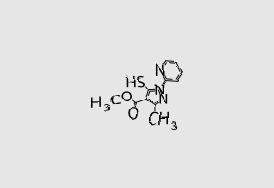 COC(=O)c1c(C)nn(-c2ccccn2)c1S